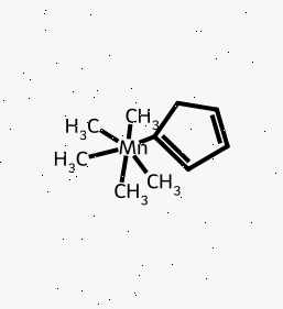 [CH3][Mn]([CH3])([CH3])([CH3])([CH3])[C]1=CC=CC1